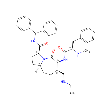 CCNC[C@H]1CC[C@H]2CC[C@@H](C(=O)NC(c3ccccc3)c3ccccc3)N2C(=O)[C@H]1NC(=O)[C@@H](Cc1ccccc1)NC